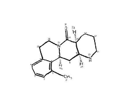 Cc1cccc2c1[C@@H]1C[C@@H]3NCCC[C@@H]3C(=O)N1CC2